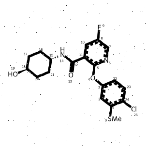 CSc1cc(Oc2ncc(F)cc2C(=O)N[C@H]2CC[C@H](O)CC2)ccc1Cl